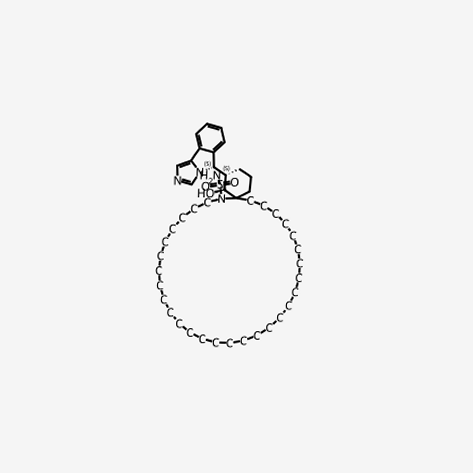 NS(=O)(=O)N1CCCCCCCCCCCCCCCCCCCCCCCCCCCCCC12CCC[C@@H]([C@H]1c3ccccc3-c3cncn31)[C@@H]2O